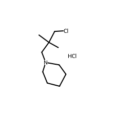 CC(C)(CCl)CN1CCCCC1.Cl